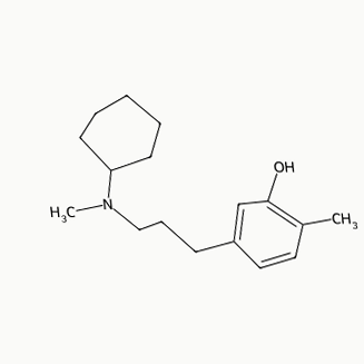 Cc1ccc(CCCN(C)C2CCCCC2)cc1O